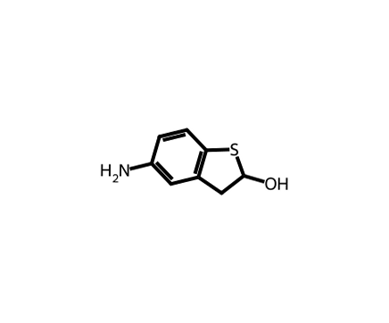 Nc1ccc2c(c1)CC(O)S2